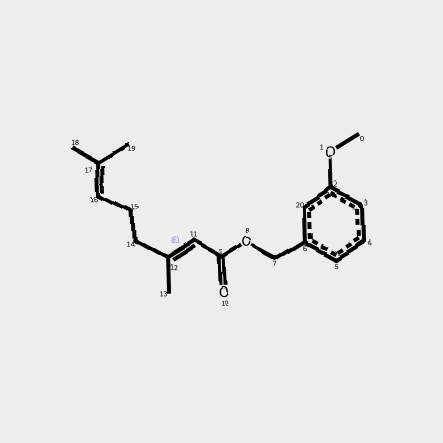 COc1cccc(COC(=O)/C=C(\C)CCC=C(C)C)c1